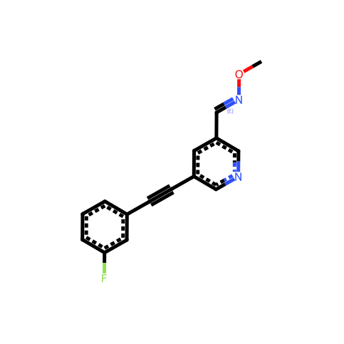 CO/N=C/c1cncc(C#Cc2cccc(F)c2)c1